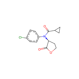 O=C1OCC[C@@H]1N(C(=O)C1CC1)c1ccc(Cl)cc1